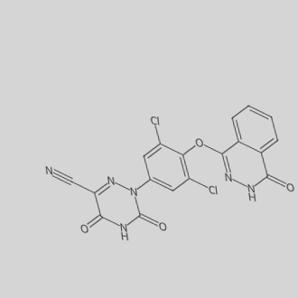 N#Cc1nn(-c2cc(Cl)c(Oc3n[nH]c(=O)c4ccccc34)c(Cl)c2)c(=O)[nH]c1=O